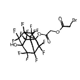 O=C(CBr)OCC(=O)OC12C(F)(F)C3(O)C(F)(F)C(F)(C(F)(F)C(F)(C3(F)F)C1(F)F)C2(F)F